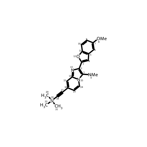 CNc1c(-c2cc3cc(OC)ccc3o2)nc2cc(C#C[Si](C)(C)C)ccn12